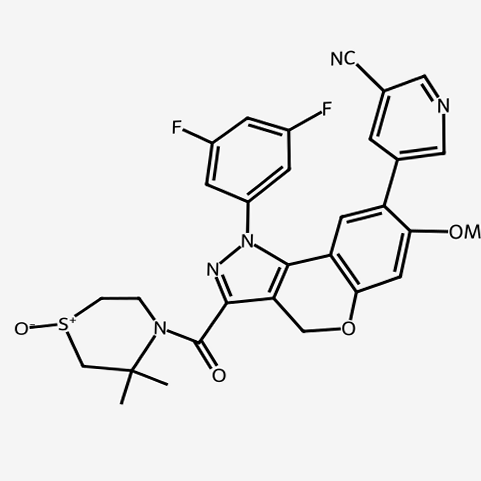 COc1cc2c(cc1-c1cncc(C#N)c1)-c1c(c(C(=O)N3CC[S+]([O-])CC3(C)C)nn1-c1cc(F)cc(F)c1)CO2